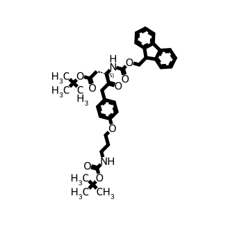 CC(C)(C)OC(=O)C[C@H](NC(=O)OCC1c2ccccc2-c2ccccc21)C(=O)Cc1ccc(OCCCNC(=O)OC(C)(C)C)cc1